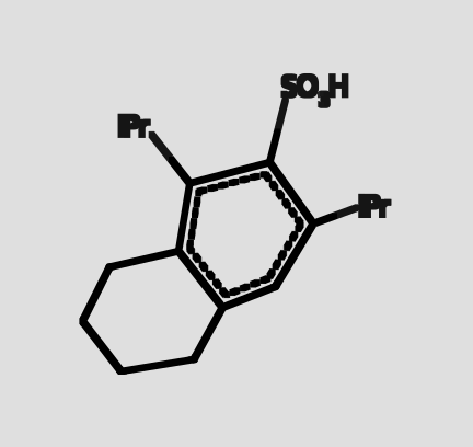 CC(C)c1cc2c(c(C(C)C)c1S(=O)(=O)O)CCCC2